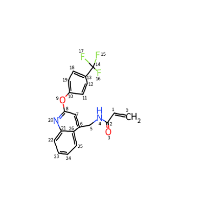 C=CC(=O)NCc1cc(Oc2ccc(C(F)(F)F)cc2)nc2ccccc12